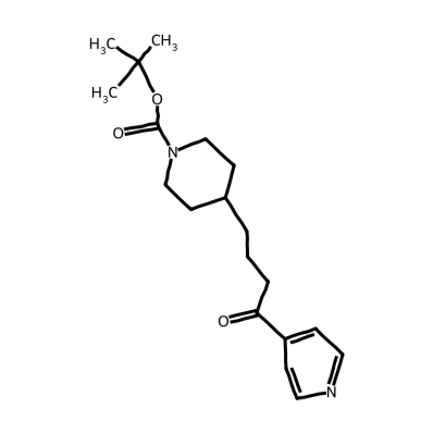 CC(C)(C)OC(=O)N1CCC(CCCC(=O)c2ccncc2)CC1